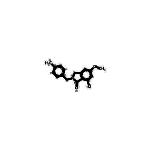 COc1cc(Cl)c2c(c1)CN(Cc1ccc(C)cc1)C2=O